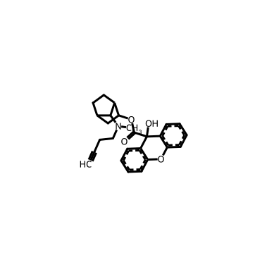 C#CCCN(C)C1C2CCC1C(OC(=O)C1(O)c3ccccc3Oc3ccccc31)C2